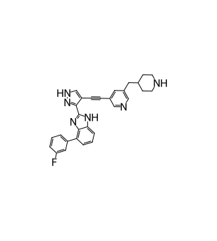 Fc1cccc(-c2cccc3[nH]c(-c4n[nH]cc4C#Cc4cncc(CC5CCNCC5)c4)nc23)c1